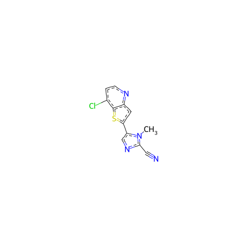 Cn1c(-c2cc3nccc(Cl)c3s2)cnc1C#N